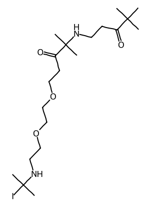 CC(C)(I)NCCOCCOCCC(=O)C(C)(C)NCCC(=O)C(C)(C)C